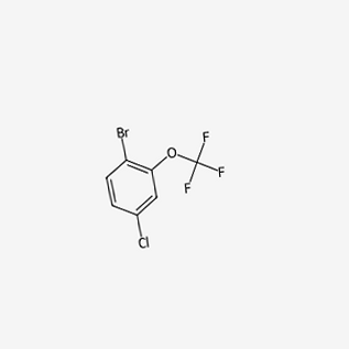 FC(F)(F)Oc1cc(Cl)ccc1Br